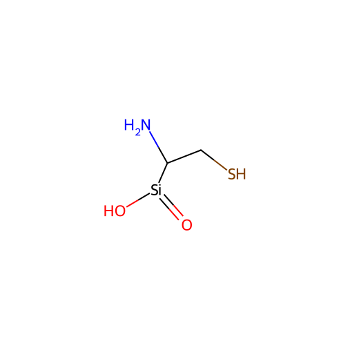 NC(CS)[Si](=O)O